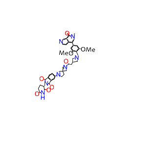 COc1cc(-c2cn(C)c(=O)c3cnccc23)cc(OC)c1CN1CC(CC(=O)N2CC3(CCN(c4ccc5c(c4)C(=O)N(C4CCC(=O)NC4=O)C5=O)C3)C2)C1